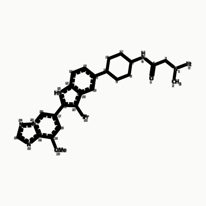 CCN(C)CC(=O)NC1CCC(c2ccc3[nH]c(-c4cc(OC)c5ncnn5c4)c(C(C)C)c3c2)CC1